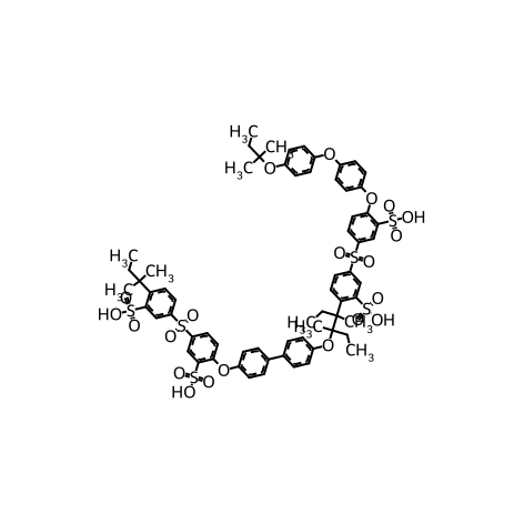 CCC(C)(C)Oc1ccc(Oc2ccc(Oc3ccc(S(=O)(=O)c4ccc(C(C)(CC)C(C)(CC)Oc5ccc(-c6ccc(Oc7ccc(S(=O)(=O)c8ccc(C(C)(C)CC)c(S(=O)(=O)O)c8)cc7S(=O)(=O)O)cc6)cc5)c(S(=O)(=O)O)c4)cc3S(=O)(=O)O)cc2)cc1